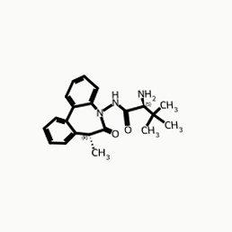 C[C@H]1C(=O)N(NC(=O)[C@@H](N)C(C)(C)C)c2ccccc2-c2ccccc21